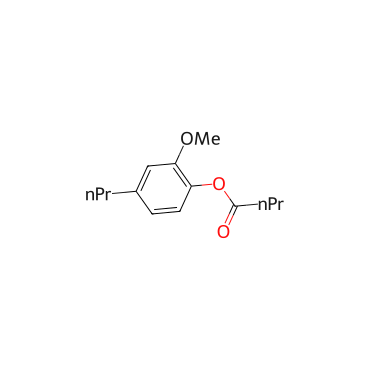 CCCC(=O)Oc1ccc(CCC)cc1OC